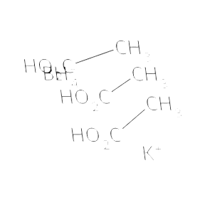 CC(=O)O.CC(=O)O.CC(=O)O.[BH4-].[K+]